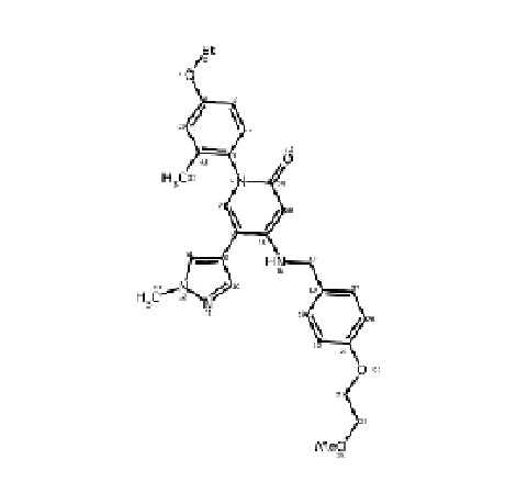 CCOc1ccc(-n2cc(-c3cnn(C)c3)c(NCc3ccc(OCCOC)cc3)cc2=O)c(C)c1